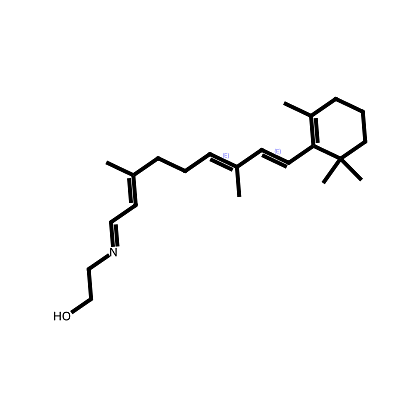 CC(=CC=NCCO)CC/C=C(C)/C=C/C1=C(C)CCCC1(C)C